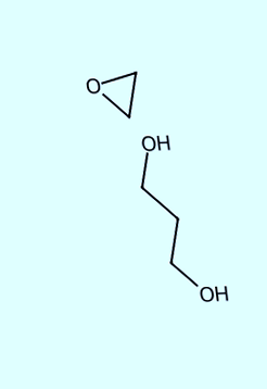 C1CO1.OCCCO